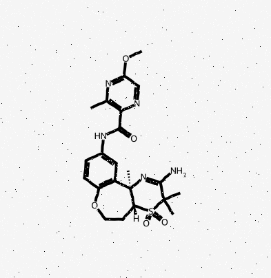 COc1cnc(C(=O)Nc2ccc3c(c2)[C@@]2(C)N=C(N)C(C)(C)S(=O)(=O)[C@@H]2CCO3)c(C)n1